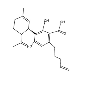 C=CCCCc1cc(O)c([C@@H]2C=C(C)CC[C@H]2C(=C)C)c(O)c1C(=O)O